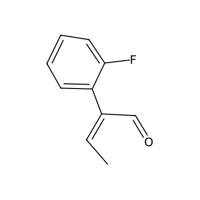 CC=C(C=O)c1ccccc1F